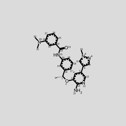 C[C@@H](Oc1cc(-c2cnn(C)c2)cnc1N)c1cccc(NC(=O)c2cccc(N(C)C)c2)c1